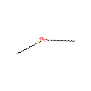 CCCCCCCCCCCCCCCCSCCOP(O)(=S)SCCSCCCCCCCCCCCCCCCC